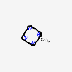 C1=CC2=NC1=CC1=NC(=CC3=NC(=CC4=NC(=C2)C=C4)C=C3)C=C1.[CaH2]